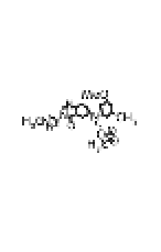 COc1cc(C)cc(N(CCOS(C)(=O)=O)c2ccc3ncn(-c4cnn(C)c4)c(=O)c3c2)c1